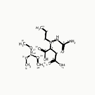 CCCN(NC(N)=O)C(CC(=O)O)C(=O)O.CO[SiH](OC)OC